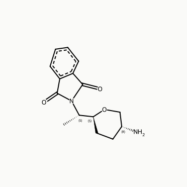 C[C@@H]([C@@H]1CC[C@@H](N)CO1)N1C(=O)c2ccccc2C1=O